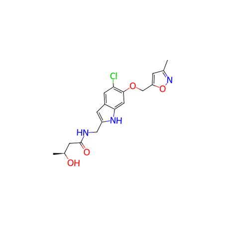 Cc1cc(COc2cc3[nH]c(CNC(=O)C[C@H](C)O)cc3cc2Cl)on1